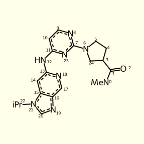 CNC(=O)C1CCN(c2nccc(Nc3cc4c(cn3)ncn4C(C)C)n2)C1